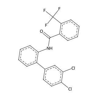 O=C(Nc1ccccc1-c1ccc(Cl)c(Cl)c1)c1ccccc1C(F)(F)F